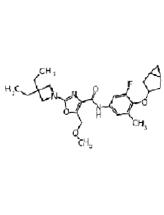 CCC1(CC)CN(c2nc(C(=O)Nc3cc(C)c(OC4CC5CC5C4)c(F)c3)c(COC)o2)C1